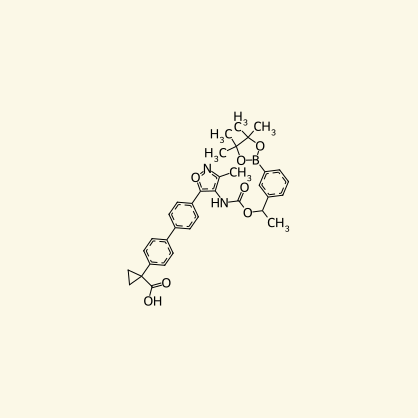 Cc1noc(-c2ccc(-c3ccc(C4(C(=O)O)CC4)cc3)cc2)c1NC(=O)OC(C)c1cccc(B2OC(C)(C)C(C)(C)O2)c1